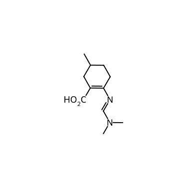 CC1CCC(N=CN(C)C)=C(C(=O)O)C1